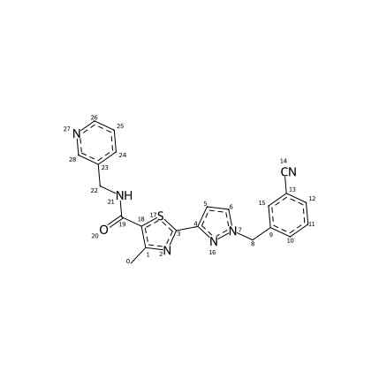 Cc1nc(-c2ccn(Cc3cccc(C#N)c3)n2)sc1C(=O)NCc1cccnc1